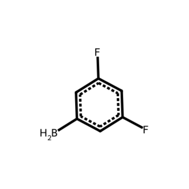 Bc1cc(F)cc(F)c1